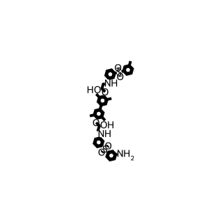 Cc1cccc(S(=O)(=O)c2cccc(NCC(O)Oc3c(C)cc(-c4cc(C)c(OC(O)CNc5cccc(S(=O)(=O)c6cccc(N)c6)c5)c(C)c4)cc3C)c2)c1